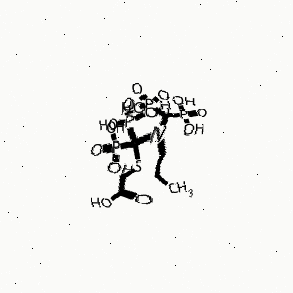 CCCN(C(P(=O)(O)O)P(=O)(O)O)C(SCC(=O)O)(P(=O)(O)O)P(=O)(O)O